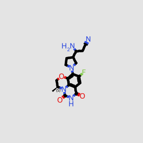 C[C@H]1COc2c(N3CCC(C(N)CC#N)C3)c(F)cc3c(=O)[nH]c(=O)n1c23